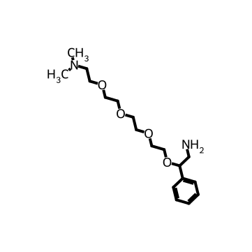 CN(C)CCOCCOCCOCCOC(CN)c1ccccc1